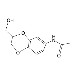 CC(=O)Nc1ccc2c(c1)OC(CO)CO2